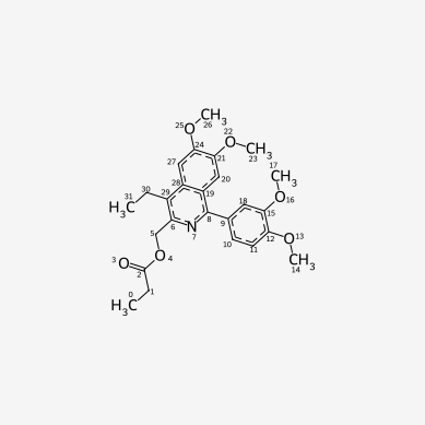 CCC(=O)OCc1nc(-c2ccc(OC)c(OC)c2)c2cc(OC)c(OC)cc2c1CC